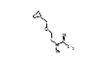 CC(C)N(CCOCC1CO1)C(=O)C(F)(F)F